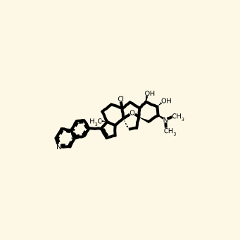 CN(C)[C@H]1C[C@@]23CC[C@]4(O2)C2CC=C(c5ccc6ccncc6c5)[C@@]2(C)CCC4(Cl)CC3[C@@H](O)[C@@H]1O